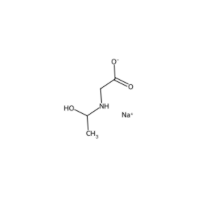 CC(O)NCC(=O)[O-].[Na+]